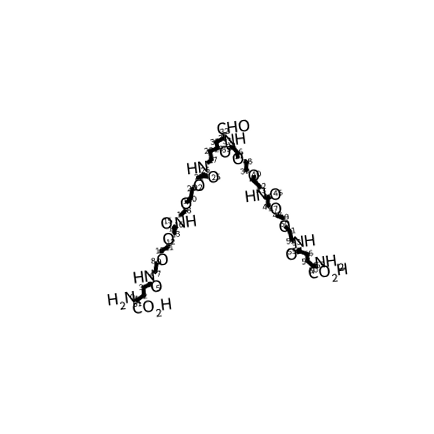 N[C@@H](CCC(=O)NCCOCCOCC(=O)NCCOCCOCC(=O)NCCCC[C@@H](C=O)NC(=O)COCCOCCNC(=O)COCCOCCNC(=O)CC[C@H](N)C(=O)O)C(=O)O